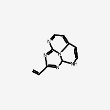 C=CC1=NC2NC=CC3=CC=NC(=N1)N32